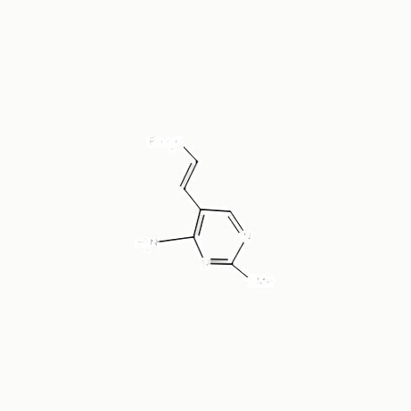 CCOC(=O)/C=C/c1cnc(SC)nc1N